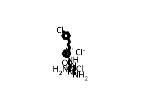 Nc1nc(N)c(C(=O)NC2C[N+]3(CCCc4ccc(Cl)cc4)CCC2CC3)nc1Cl.[Cl-]